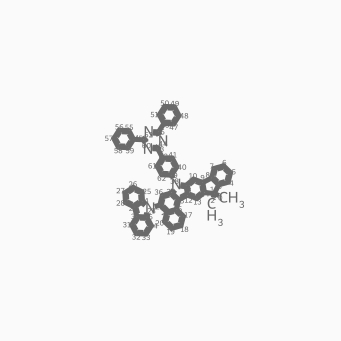 CC1(C)c2ccccc2-c2cc3c(cc21)c1c2ccccc2c(-n2c4ccccc4c4ccccc42)cc1n3-c1ccc(-c2nc(-c3ccccc3)nc(-c3ccccc3)n2)cc1